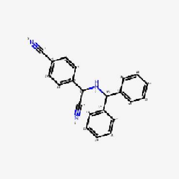 N#Cc1ccc([C@H](C#N)NC(c2ccccc2)c2ccccc2)cc1